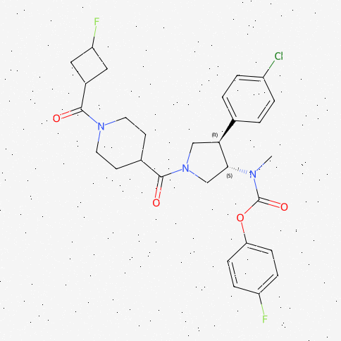 CN(C(=O)Oc1ccc(F)cc1)[C@@H]1CN(C(=O)C2CCN(C(=O)C3CC(F)C3)CC2)C[C@H]1c1ccc(Cl)cc1